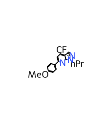 CCCn1ncc2c(C(F)(F)F)cc(-c3ccc(OC)cc3)nc21